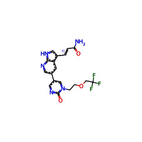 NC(=O)/C=C/c1c[nH]c2ncc(-c3cnc(=O)n(CCOCC(F)(F)F)c3)cc12